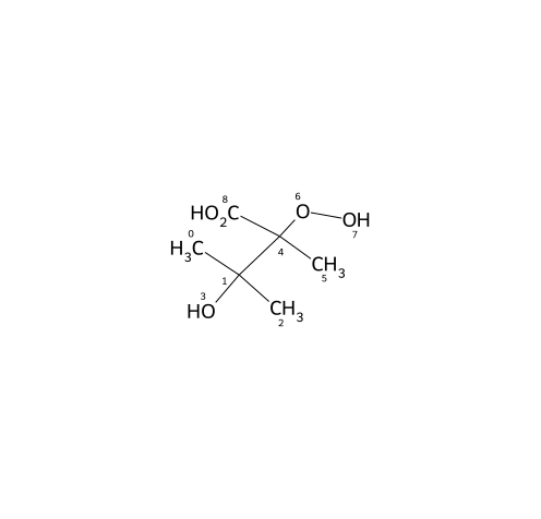 CC(C)(O)C(C)(OO)C(=O)O